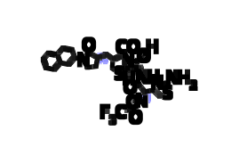 Nc1nc(/C(=N/OC(=O)C(F)(F)F)C(=O)N[C@@H]2C(=O)N3C(C(=O)O)=C(/C=C4\CCN(c5ccc6ccccc6c5)C4=O)CS[C@H]23)cs1